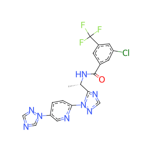 C[C@H](NC(=O)c1cc(Cl)cc(C(F)(F)F)c1)c1ncnn1-c1ccc(-n2cncn2)cn1